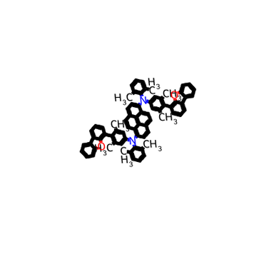 Cc1cc(N(c2c(C)cccc2C)c2ccc3ccc4c(N(c5cc(C)c(-c6cccc7c6oc6ccccc67)c(C)c5)c5c(C)cccc5C)ccc5ccc2c3c54)cc(C)c1-c1cccc2c1oc1ccccc12